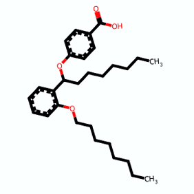 CCCCCCCCOc1ccccc1C(CCCCCCC)Oc1ccc(C(=O)O)cc1